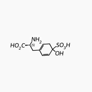 N[C@@H](CC1=CCC(O)(S(=O)(=O)O)C=C1)C(=O)O